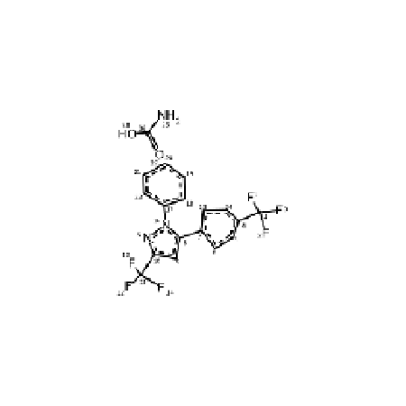 FC(F)(F)c1ccc(-c2cc(C(F)(F)F)nn2-c2ccccc2)cc1.NC(=O)O